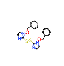 c1ccc(COn2ccnc2SSc2nccn2OCc2ccccc2)cc1